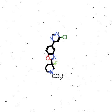 O=C(O)N1CCCC(F)(c2nc3cc(-c4cc(Cl)ncn4)ccc3o2)C1